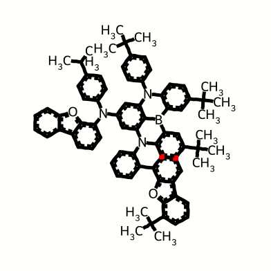 CC(C)c1ccc(N(c2cc3c4c(c2)N(c2ccccc2-c2cccc5c2oc2c(C(C)(C)C)cccc25)c2ccc(C(C)(C)C)cc2B4c2cc(C(C)(C)C)ccc2N3c2ccc(C(C)(C)C)cc2)c2cccc3c2oc2ccccc23)cc1